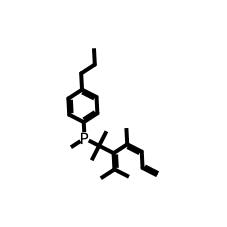 C=C/C=C(/C)C(=C(C)C)C(C)(C)P(C)c1ccc(CCC)cc1